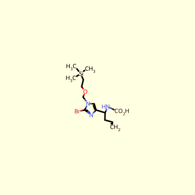 C=CCC(NC(=O)O)c1cn(COCC[Si](C)(C)C)c(Br)n1